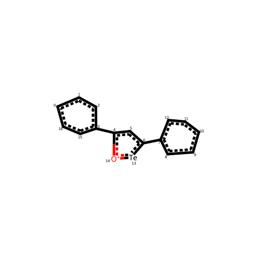 c1ccc(-c2cc(-c3ccccc3)[te][o+]2)cc1